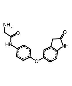 NCC(=O)Nc1ccc(Oc2ccc3c(c2)CC(=O)N3)cc1